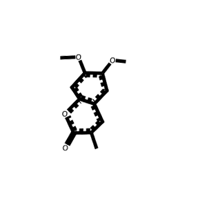 COc1cc2cc(C)c(=O)oc2cc1OC